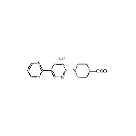 O=C([O-])C1CCN(c2ccc(-c3ncccn3)cn2)CC1.[Li+]